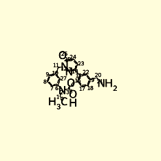 CCN(C(=O)O)c1cccc(Cn2nc(-c3cccc(CN)c3)ccc2=O)c1